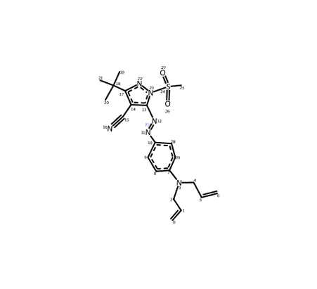 C=CCN(CC=C)c1ccc(/N=N/c2c(C#N)c(C(C)(C)C)nn2S(C)(=O)=O)cc1